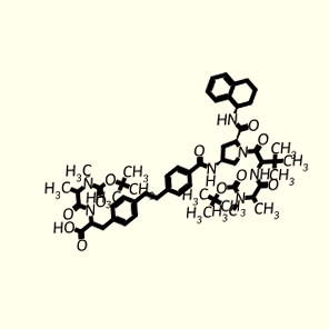 CC(C(=O)NC(Cc1ccc(CCc2ccc(C(=O)N[C@H]3C[C@@H](C(=O)N[C@@H]4CCCc5ccccc54)N(C(=O)C(NC(=O)C(C)N(C)C(=O)OC(C)(C)C)C(C)(C)C)C3)cc2)cc1)C(=O)O)N(C)C(=O)OC(C)(C)C